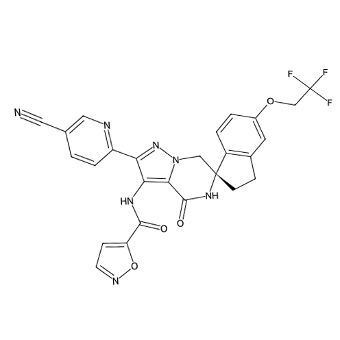 N#Cc1ccc(-c2nn3c(c2NC(=O)c2ccno2)C(=O)N[C@]2(CCc4cc(OCC(F)(F)F)ccc42)C3)nc1